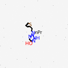 CCCN(CCc1cccs1)N1N=CC(O)=NN1